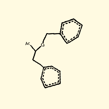 CC(=O)C(Cc1ccccc1)OCc1ccccc1